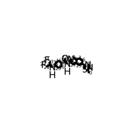 Cc1nnc(-c2ccc3cnc(NC(=O)[C@H]4CC[C@H](NC(CF)CF)CC4)cc3c2)s1